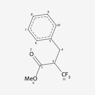 COC(=O)C(Cc1ccccc1)C(F)(F)F